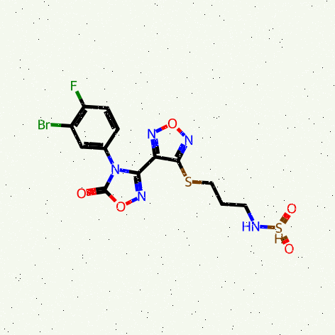 O=c1onc(-c2nonc2SCCCN[SH](=O)=O)n1-c1ccc(F)c(Br)c1